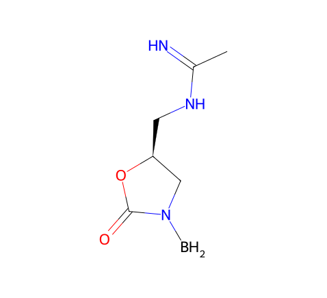 BN1C[C@H](CNC(C)=N)OC1=O